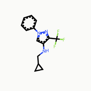 FC(F)(F)c1nn(-c2ccccc2)cc1NCC1CC1